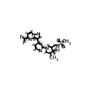 CC1CN(c2cc(-c3cnn4ccc(C(F)F)nc34)ccn2)CC(CNS(C)(=O)=O)C1(F)F